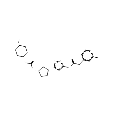 Cc1cc(CC(=O)Nc2cc([C@@H]3CC[C@H](OC(=O)N[C@H]4CC[C@H](O)CC4)C3)[nH]n2)ccn1